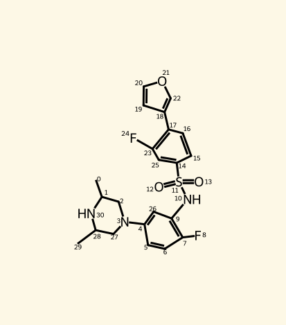 CC1CN(c2ccc(F)c(NS(=O)(=O)c3ccc(-c4ccoc4)c(F)c3)c2)CC(C)N1